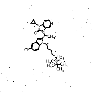 CC(c1cc2cc(Cl)ccc2n1CCCCO[Si](C)(C)C(C)(C)C)n1c(=O)n(C2CC2)c2ccncc21